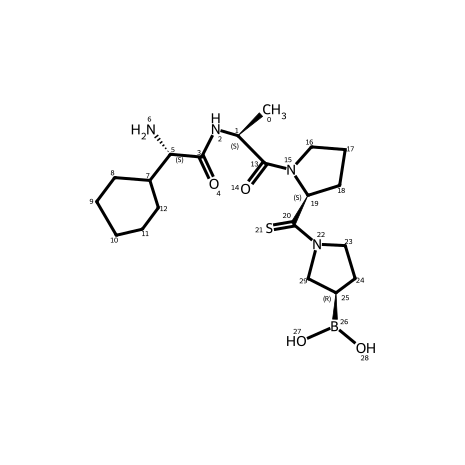 C[C@H](NC(=O)[C@@H](N)C1CCCCC1)C(=O)N1CCC[C@H]1C(=S)N1CC[C@@H](B(O)O)C1